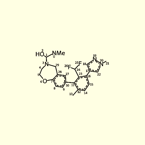 CNC(O)N1CCOc2ccc(-c3c(C)ccc(-c4cnn(C)c4)c3C(F)F)cc2C1